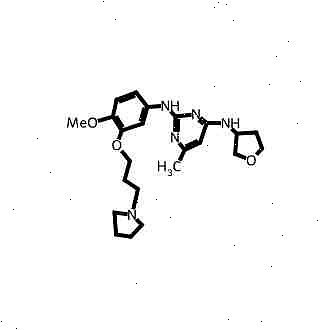 COc1ccc(Nc2nc(C)cc(NC3CCOC3)n2)cc1OCCCN1CCCC1